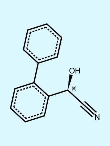 N#C[C@H](O)c1ccccc1-c1ccccc1